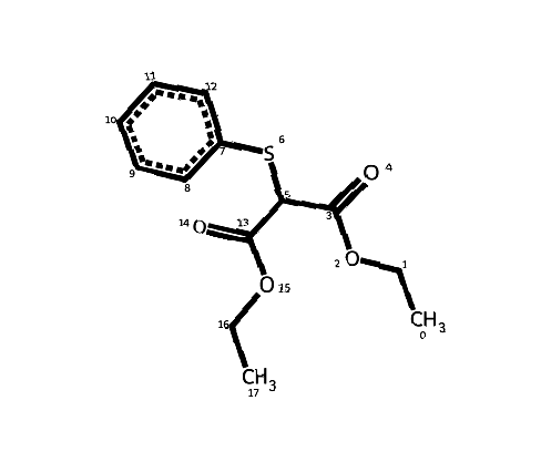 CCOC(=O)C(Sc1ccccc1)C(=O)OCC